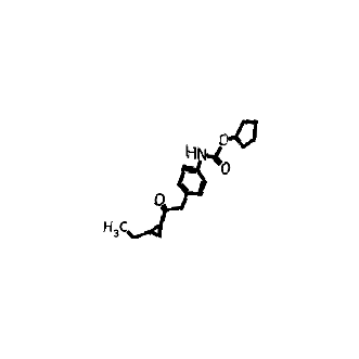 CCC1CC1C(=O)Cc1ccc(NC(=O)OC2CCCC2)cc1